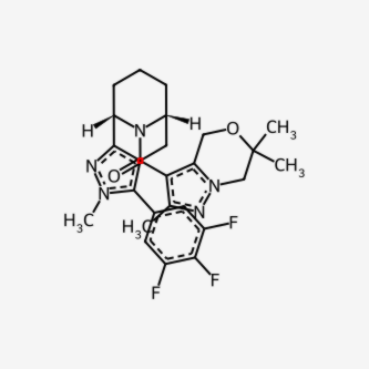 Cc1nn2c(c1C(=O)N1[C@@H]3CCC[C@H]1c1nn(C)c(-c4cc(F)c(F)c(F)c4)c1C3)COC(C)(C)C2